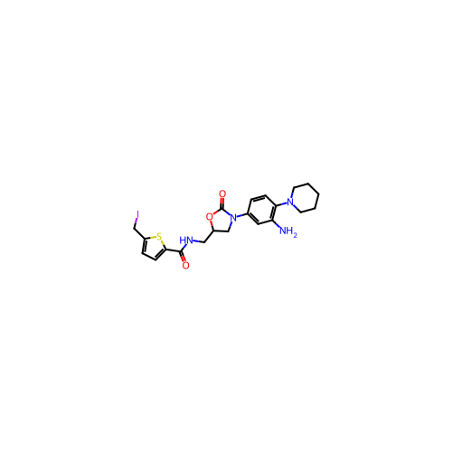 Nc1cc(N2CC(CNC(=O)c3ccc(CI)s3)OC2=O)ccc1N1CCCCC1